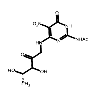 CC(=O)Nc1nc(NCC(=O)C(O)[C@H](C)O)c([N+](=O)[O-])c(=O)[nH]1